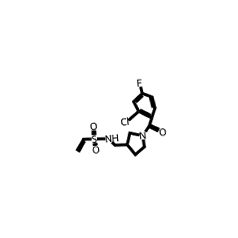 C=CS(=O)(=O)NCC1CCN(C(=O)c2ccc(F)cc2Cl)C1